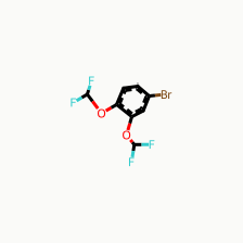 FC(F)Oc1c[c]c(Br)cc1OC(F)F